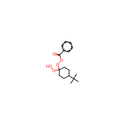 CC(C)(C)C1CCC(OO)(OOC(=O)c2ccccc2)CC1